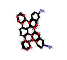 Nc1ccc2c(-c3ccccc3)c(-c3c(-c4ccccc4)ccc(-c4ccccc4)c3-c3c(-c4ccccc4)cc4cc(N)ccc4c3-c3ccccc3)c(-c3ccccc3)cc2c1